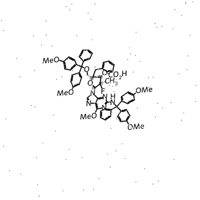 COc1ccc(C(Nc2nc(OC)c3ncn([C@@H]4O[C@@](COC(c5ccccc5)(c5ccc(OC)cc5)c5ccc(OC)cc5)(Cc5ccccc5)[C@@H](OC(=O)O)[C@@]4(C)F)c3n2)(c2ccccc2)c2ccc(OC)cc2)cc1